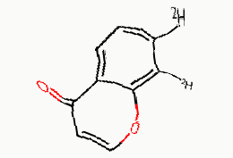 [2H]c1ccc2c(=O)ccoc2c1[2H]